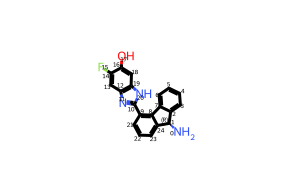 N[C@@H]1c2ccccc2-c2c(-c3nc4cc(F)c(O)cc4[nH]3)cccc21